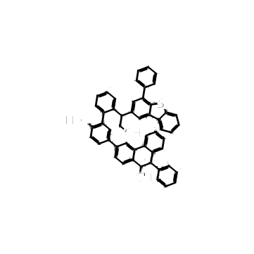 CCC(c1cc(-c2ccccc2)c2sc3ccccc3c2c1)c1ccccc1-c1cc(-c2ccc3c(c2)-c2ccccc2C(c2ccccc2)C3C)ccc1C